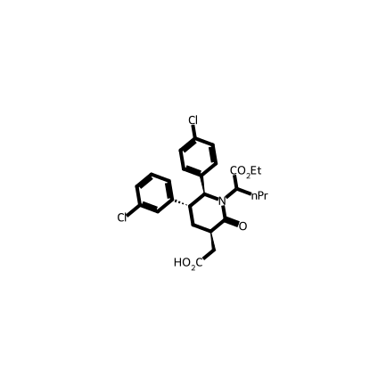 CCCC(C(=O)OCC)N1C(=O)[C@@H](CC(=O)O)C[C@H](c2cccc(Cl)c2)[C@H]1c1ccc(Cl)cc1